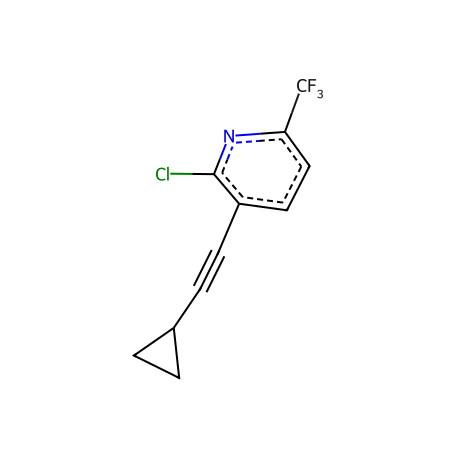 FC(F)(F)c1ccc(C#CC2CC2)c(Cl)n1